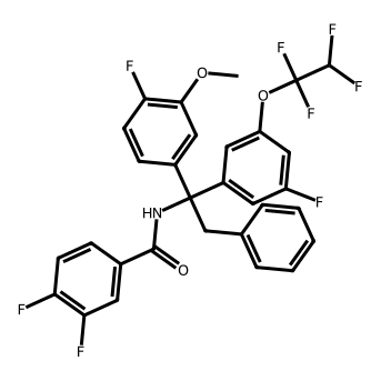 COc1cc(C(Cc2ccccc2)(NC(=O)c2ccc(F)c(F)c2)c2cc(F)cc(OC(F)(F)C(F)F)c2)ccc1F